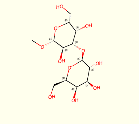 CO[C@@H]1O[C@H](CO)[C@H](O)[C@H](O[C@@H]2O[C@H](CO)[C@H](O)[C@H](O)[C@H]2O)[C@H]1O